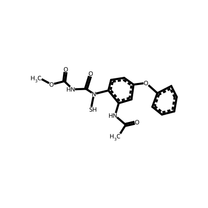 COC(=O)NC(=O)N(S)c1ccc(Oc2ccccc2)cc1NC(C)=O